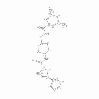 O=C(NCC1CCC(NC(=O)[C@@H]2C[C@@H](c3ccccc3)CN2)CC1)c1cc(C(F)(F)F)cc(C(F)(F)F)c1